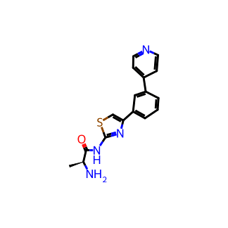 C[C@H](N)C(=O)Nc1nc(-c2cccc(-c3ccncc3)c2)cs1